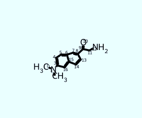 CN(C)c1ccc2cc(C(=O)CN)ccc2c1